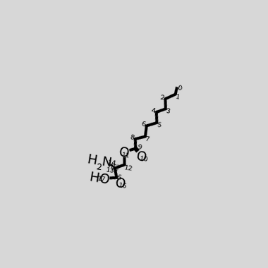 CCCCCCCCCC(=O)OC[C@H](N)C(=O)O